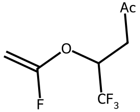 C=C(F)OC(CC(C)=O)C(F)(F)F